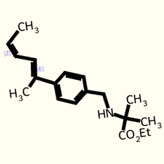 C/C=C\C=C(/C)c1ccc(CNC(C)(C)C(=O)OCC)cc1